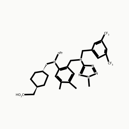 CCCN(C[C@H]1CC[C@H](CC(=O)O)CC1)c1cc(C)c(C)cc1CN(Cc1cc(C(F)(F)F)cc(C(F)(F)F)c1)c1nnn(C)n1